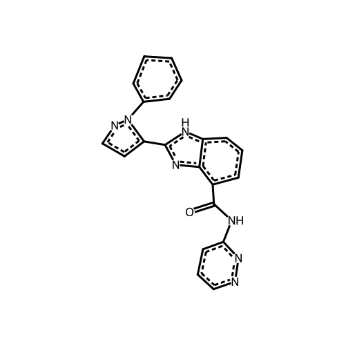 O=C(Nc1cccnn1)c1cccc2[nH]c(-c3ccnn3-c3ccccc3)nc12